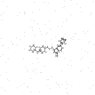 c1cc2[nH]cc(CCCC3CCN(CC4CCCCC4)CC3)c2cc1-n1cnnc1